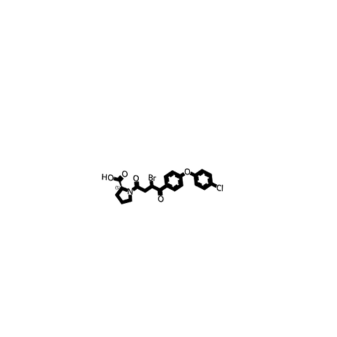 O=C(c1ccc(Oc2ccc(Cl)cc2)cc1)C(Br)CC(=O)N1CCC[C@H]1C(=O)O